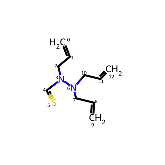 C=CCN(C=S)N(CC=C)CC=C